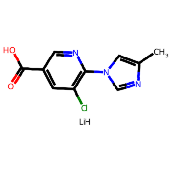 Cc1cn(-c2ncc(C(=O)O)cc2Cl)cn1.[LiH]